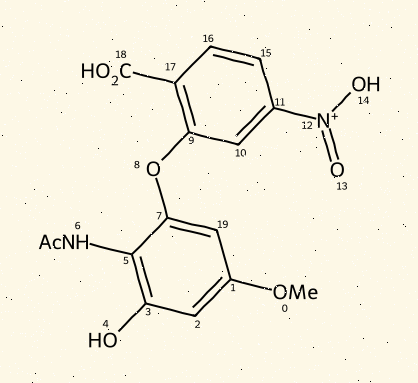 COc1cc(O)c(NC(C)=O)c(Oc2cc([N+](=O)O)ccc2C(=O)O)c1